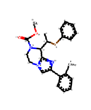 COc1ccccc1-c1cn2c(n1)C(C(C)Sc1ccccc1)N(C(=O)OC(C)(C)C)CC2